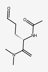 C=C([C@H](CCC=O)NC(C)=O)N(C)C